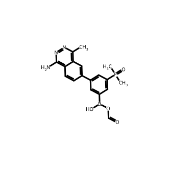 Cc1nnc(N)c2ccc(-c3cc(B(O)OC=O)cc(P(C)(C)=O)c3)cc12